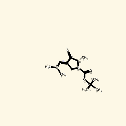 C[C@H]1C(=O)/C(=C/N(C)C)CN1C(=O)OC(C)(C)C